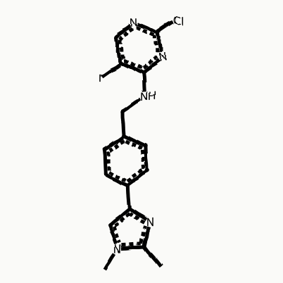 Cc1nc(-c2ccc(CNc3nc(Cl)ncc3I)cc2)cn1C